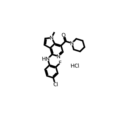 Cl.Cn1ccc2c(Nc3ccc(Cl)cc3F)ncc(C(=O)N3CCCCC3)c21